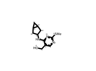 CSc1ncc(CO)c(NC2CC3CC3C2)n1